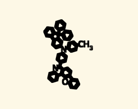 Cc1ccc(N(c2ccc(-c3nc4ccccc4c4c3ccc3c5ccccc5oc34)cc2)c2ccc3c(c2)C(c2ccccc2)(c2ccccc2)c2ccccc2-3)cc1